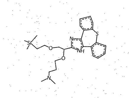 CN(C)CCCOC(COCC[Si](C)(C)C)c1nc2c([nH]1)-c1ccccc1Sc1ccccc1-2